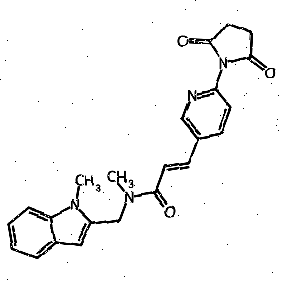 CN(Cc1cc2ccccc2n1C)C(=O)/C=C/c1ccc(N2C(=O)CCC2=O)nc1